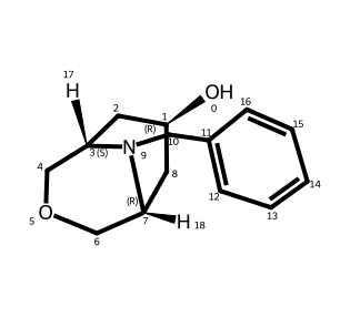 O[C@@H]1C[C@H]2COC[C@@H](C1)N2Cc1ccccc1